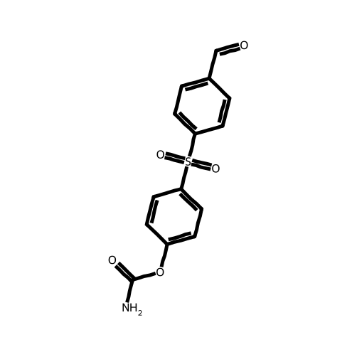 NC(=O)Oc1ccc(S(=O)(=O)c2ccc(C=O)cc2)cc1